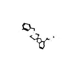 O=C(NO)c1cccc2c1CC1(CCN(Cc3cccc(C(F)(F)F)c3)C1=O)C2